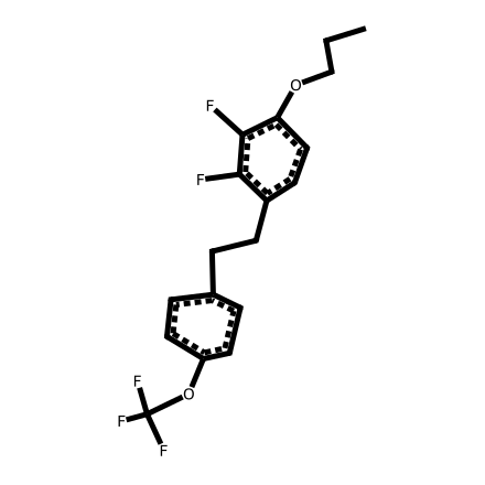 CCCOc1ccc(CCc2ccc(OC(F)(F)F)cc2)c(F)c1F